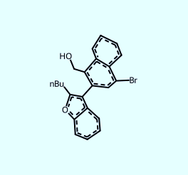 CCCCc1oc2ccccc2c1-c1cc(Br)c2ccccc2c1CO